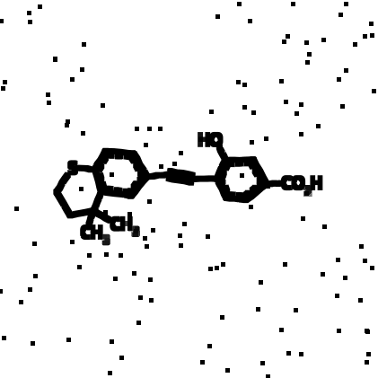 CC1(C)CCSc2ccc(C#Cc3ccc(C(=O)O)cc3O)cc21